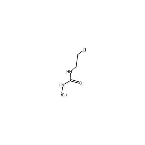 CC(C)(C)NC(=O)NCCCl